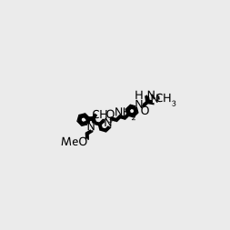 COCCCn1c(C2CCCN(C(=O)C[C@H](N)Cc3ccc(NC(=O)c4cnn(C)c4)cc3)C2)c(C)c2ccccc21